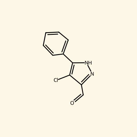 O=Cc1n[nH]c(-c2ccccc2)c1Cl